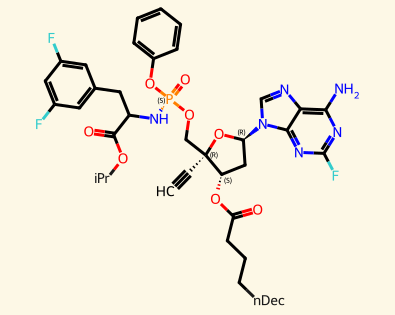 C#C[C@]1(CO[P@@](=O)(NC(Cc2cc(F)cc(F)c2)C(=O)OC(C)C)Oc2ccccc2)O[C@@H](n2cnc3c(N)nc(F)nc32)C[C@@H]1OC(=O)CCCCCCCCCCCCC